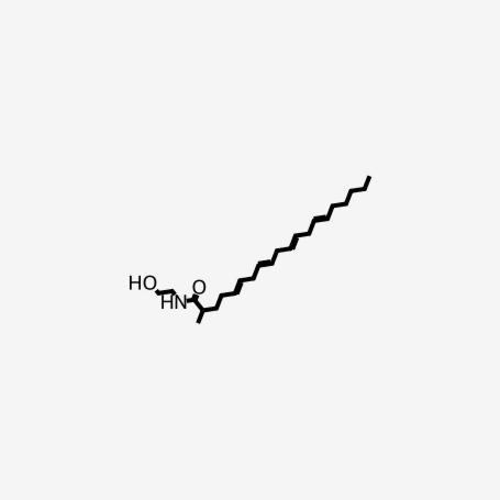 CCCCCC=CCC=CCC=CCC=CCCC(C)C(=O)NCCO